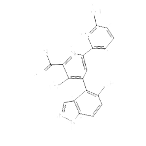 Cc1ccc2[nH]ncc2c1-c1cc(-c2cccc(O)n2)nc(C(N)=O)c1N